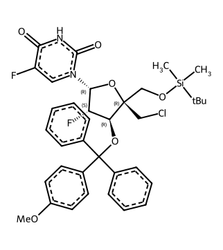 COc1ccc(C(O[C@H]2[C@H](F)[C@H](n3cc(F)c(=O)[nH]c3=O)O[C@]2(CCl)CO[Si](C)(C)C(C)(C)C)(c2ccccc2)c2ccccc2)cc1